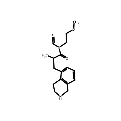 COCCN(C=O)C(=O)C(C)Cc1cccc2c1CCNC2